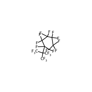 FC(F)(F)C(C(F)(F)F)(C(F)(F)F)C1(F)C(F)(F)C(F)(F)C(F)(F)C(F)(F)C1(F)F